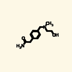 CN(CCO)Cc1ccc(CC(N)=O)cc1